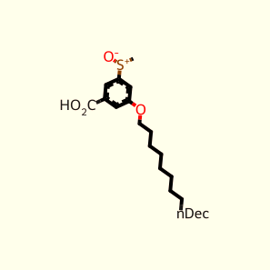 CCCCCCCCCCCCCCCCCCOc1cc(C(=O)O)cc([S+](C)[O-])c1